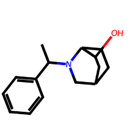 CC(c1ccccc1)N1CC2CCC1C(O)C2